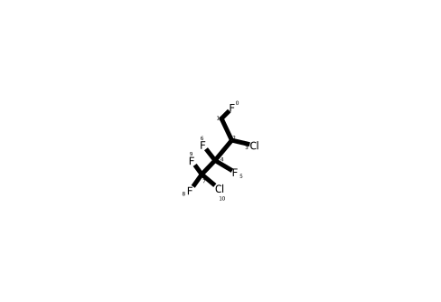 FCC(Cl)C(F)(F)C(F)(F)Cl